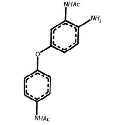 CC(=O)Nc1ccc(Oc2ccc(N)c(NC(C)=O)c2)cc1